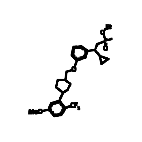 CCOP(C)(=O)C[C@H](c1cccc(OCC2CCC(c3cc(OC)ccc3C(F)(F)F)CC2)c1)C1CC1